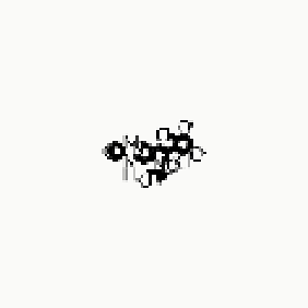 COCC1(n2c(=O)c(-c3c(Cl)c(OC)cc(OC)c3Cl)cc3cnc(NC4COCC4N)cc32)CC1